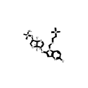 CC(C)(C)[Si](C)(C)O[C@@H]1CO[C@H]2[C@@H]1OC[C@H]2Oc1cc2nc(Cl)ccc2n1COCC[Si](C)(C)C